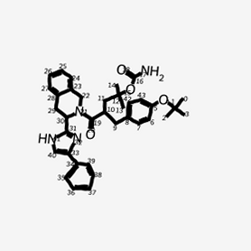 CC(C)(C)Oc1ccc(CC(CC(C)(C)OC(N)=O)C(=O)N2Cc3ccccc3CC2c2nc(-c3ccccc3)c[nH]2)cc1